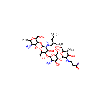 COC1OC(CO)C(OC2OC(CO)C(OC3OC(CO)C(OC4OC(CO)C(OC)C(O)C4NCCC(=O)I)C(O)C3N)C(O)C2NCC(CCC(=O)O)C(=O)O)C(O)C1N